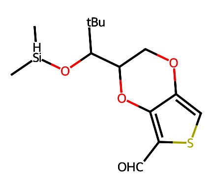 C[SiH](C)OC(C1COc2csc(C=O)c2O1)C(C)(C)C